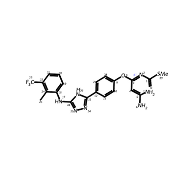 C=C(/N=C(\C=C(N)N)Oc1ccc(-c2nnc(Nc3cccc(C(F)(F)F)c3C)[nH]2)cc1)SC